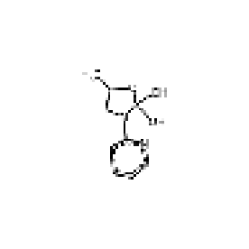 CC1CN(c2ccccn2)S(O)(O)O1